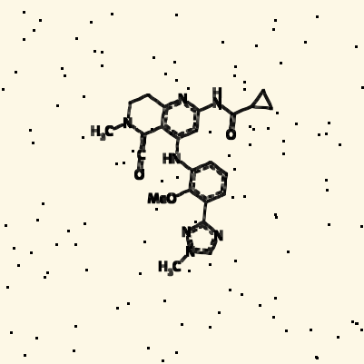 COc1c(Nc2cc(NC(=O)C3CC3)nc3c2C(=C=O)N(C)CC3)cccc1-c1ncn(C)n1